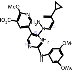 C=C(/N=C\C(=C(/N)N(N)/C=C\C(=C)C1CC1)c1cnc(OC)c(C(=O)O)c1)Nc1cc(OC)cc(OC)c1